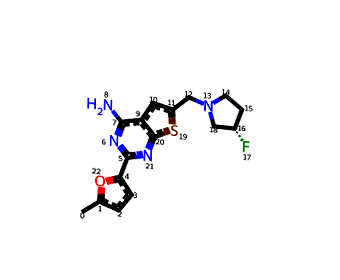 Cc1ccc(-c2nc(N)c3cc(CN4CC[C@H](F)C4)sc3n2)o1